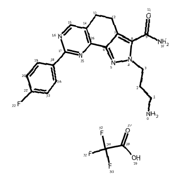 NCCCn1nc2c(c1C(N)=O)CCc1cnc(-c3ccc(F)cc3)nc1-2.O=C(O)C(F)(F)F